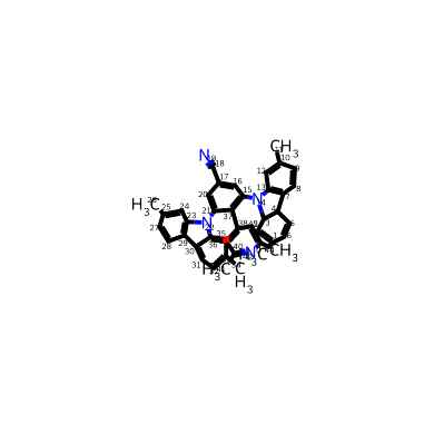 CC1=CC2C(C=C1)c1ccc(C)cc1N2c1cc(C#N)cc(-n2c3cc(C)ccc3c3ccc(C)cc32)c1-c1cc(C)nc(C)c1